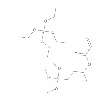 C=CC(=O)OC(C)CC[Si](OC)(OC)OC.CCO[Si](OCC)(OCC)OCC